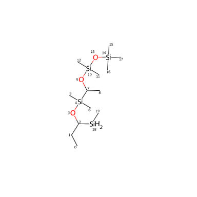 CCC(O[Si](C)(C)C(C)O[Si](C)(C)O[Si](C)(C)C)[SiH2]C